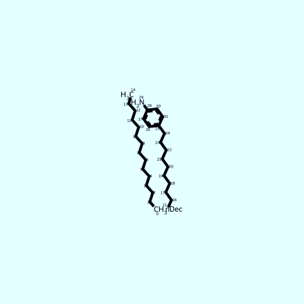 CCCCCCCCCCCCCCC.CCCCCCCCCCCCCCCCCCCc1ccc(N)cc1